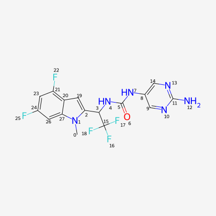 Cn1c(C(NC(=O)Nc2cnc(N)nc2)C(F)(F)F)cc2c(F)cc(F)cc21